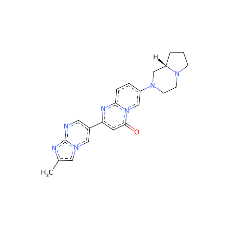 Cc1cn2cc(-c3cc(=O)n4cc(N5CCN6CCC[C@H]6C5)ccc4n3)cnc2n1